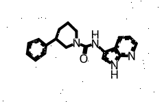 O=C(Nc1c[nH]c2ncccc12)N1CCCC(c2ccccc2)C1